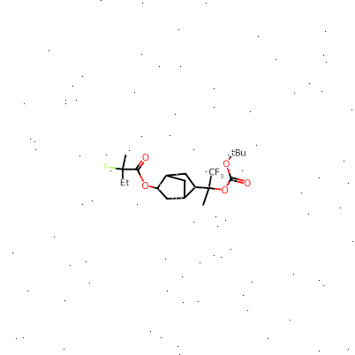 CCC(C)(F)C(=O)OC1CC2CC1CC2C(C)(OC(=O)OC(C)(C)C)C(F)(F)F